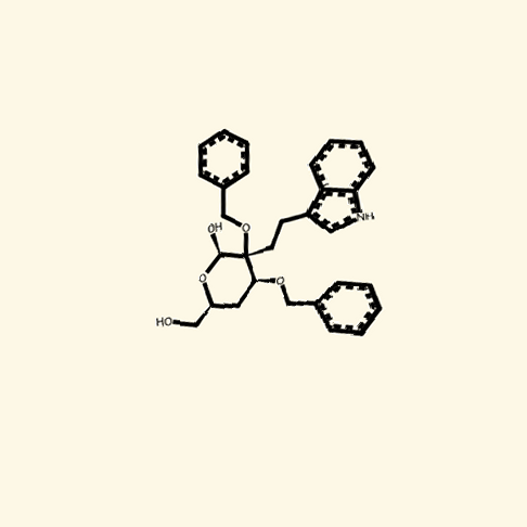 OC[C@@H]1C[C@H](OCc2ccccc2)[C@@](CCc2c[nH]c3ccccc23)(OCc2ccccc2)[C@H](O)O1